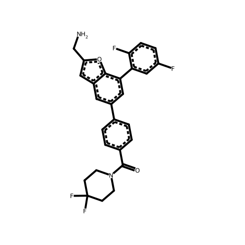 NCc1cc2cc(-c3ccc(C(=O)N4CCC(F)(F)CC4)cc3)cc(-c3cc(F)ccc3F)c2o1